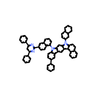 c1ccc(-c2ccc3c(c2)c2cc4c5c6ccccc6ccc5n(-c5ccc6ccccc6c5)c4cc2n3-c2cccc3cc(-c4nc(-c5ccccc5)cc(-c5ccccc5)n4)ccc23)cc1